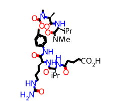 CNC(=O)[C@@H](NC(=O)[C@H](C)N(C)C(=O)OCc1ccc(NC(=O)[C@H](CCCCNC(N)=O)NC(=O)[C@@H](NC(=O)CCCC(=O)O)C(C)C)cc1)C(C)C